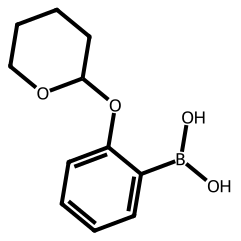 OB(O)c1ccccc1OC1CCCCO1